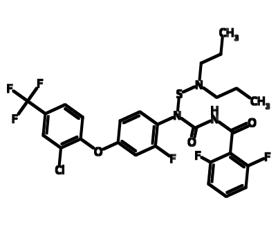 CCCN(CCC)SN(C(=O)NC(=O)c1c(F)cccc1F)c1ccc(Oc2ccc(C(F)(F)F)cc2Cl)cc1F